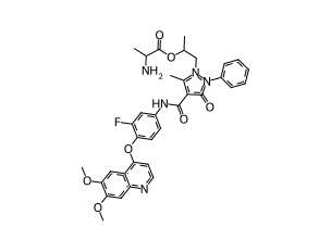 COc1cc2nccc(Oc3ccc(NC(=O)c4c(C)n(CC(C)OC(=O)C(C)N)n(-c5ccccc5)c4=O)cc3F)c2cc1OC